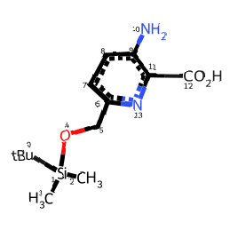 CC(C)(C)[Si](C)(C)OCc1ccc(N)c(C(=O)O)n1